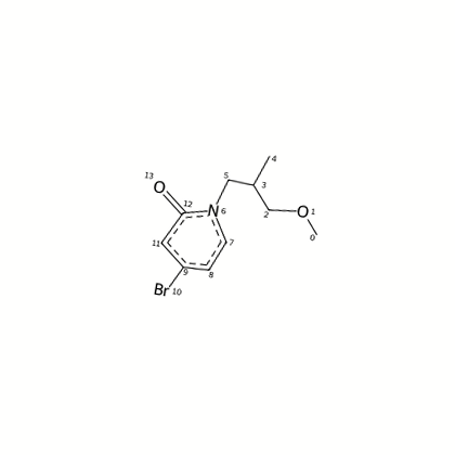 COCC(C)Cn1ccc(Br)cc1=O